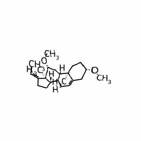 C/C=C1/CC[C@H]2[C@@H]3CC=C4C[C@@H](OC)CC[C@]4(C)[C@H]3C[C@@H](OC)[C@]12C